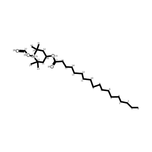 CCCCCCCCCCCCCCCCCC(=O)OC1CC(C)(C)N(OC=O)C(C)(C)C1